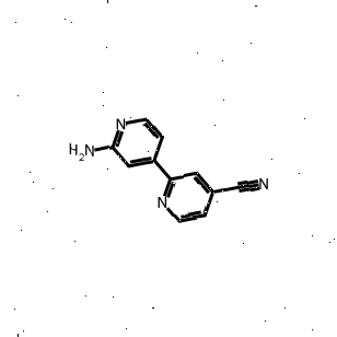 N#Cc1ccnc(-c2ccnc(N)c2)c1